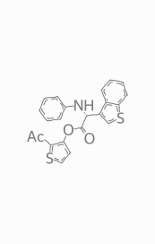 [CH2]C(=O)c1sccc1OC(=O)[C@H](Nc1ccccc1)c1csc2ccccc12